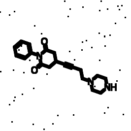 O=C1CC(C#CCCN2CCNCC2)CC(=O)N1c1ccccc1